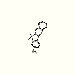 CC1(C)c2cc(N)ccc2-c2cc3ccccc3cc21